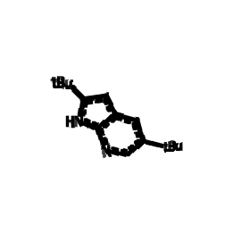 CC(C)(C)c1cnc2[nH]c(C(C)(C)C)cc2c1